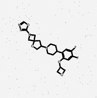 Fc1cc(OC2COC2)c(C2CCN(C3COC4(C3)CN(c3nnco3)C4)CC2)cc1F